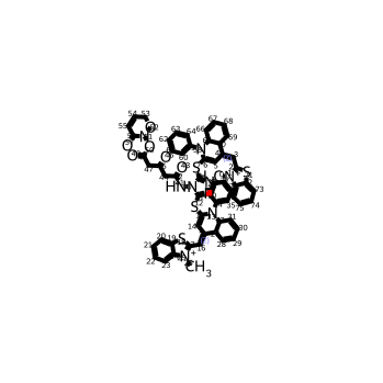 C[n+]1c(/C=C2\C=C(Sc3nnc(SC4=C/C(=C\c5sc6ccccc6[n+]5C)C5C=CC=CC5N4c4ccccc4)n3NC(=O)CC(=O)CC(=O)ON3OCC=CC3=O)N(c3ccccc3)C3C=CC=CC23)sc2ccccc21